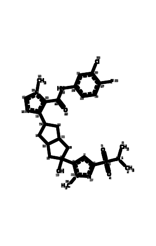 CN(C)S(=O)(=O)c1cc(C2(O)CC3CC(c4ncn(C)c4C(=O)Nc4ccc(F)c(Cl)c4)CC3C2)n(C)n1